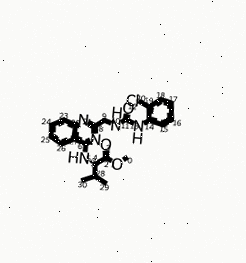 COC(=O)[C@@H](Nc1nc(CNC(=O)Nc2ccccc2Cl)nc2ccccc12)C(C)C